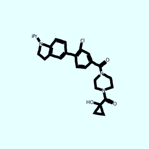 CC(C)N1CCc2cc(-c3ccc(C(=O)N4CCN(C(=O)C5(O)CC5)CC4)cc3Cl)ccc21